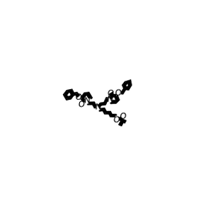 C=C(C)C(=O)OCCCCCCN(CCCn1cccc(OCc2ccccc2)c1=O)CCCn1cccc(OCc2ccccc2)c1=O